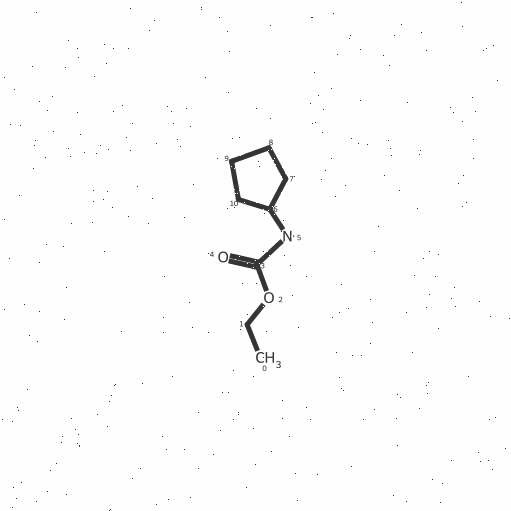 CCOC(=O)[N]C1CCCC1